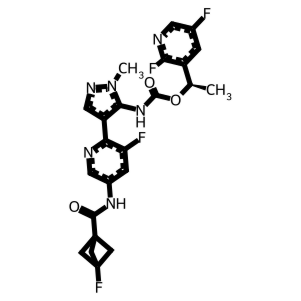 C[C@@H](OC(=O)Nc1c(-c2ncc(NC(=O)C34CC(F)(C3)C4)cc2F)cnn1C)c1cc(F)cnc1F